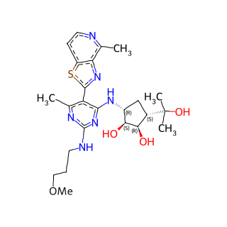 COCCCNc1nc(C)c(-c2nc3c(C)nccc3s2)c(N[C@@H]2C[C@H](C(C)(C)O)[C@@H](O)[C@H]2O)n1